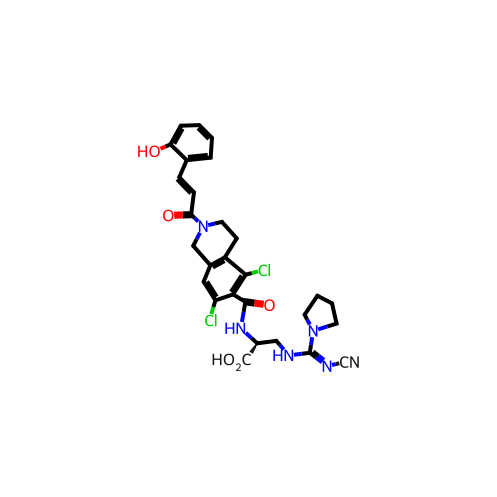 N#C/N=C(/NC[C@H](NC(=O)c1c(Cl)cc2c(c1Cl)CCN(C(=O)/C=C/c1ccccc1O)C2)C(=O)O)N1CCCC1